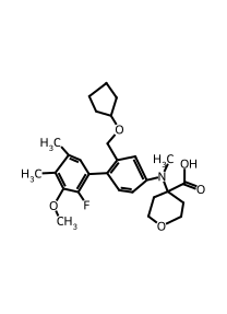 COc1c(C)c(C)cc(-c2ccc(N(C)C3(C(=O)O)CCOCC3)cc2COC2CCCC2)c1F